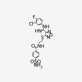 N=C(Nc1ccc(F)c(Cl)c1)c1nonc1SCCNC(=O)c1ccc(S(N)(=O)=O)cc1